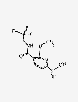 COc1nc(B(O)O)ccc1C(=O)NCC(F)(F)F